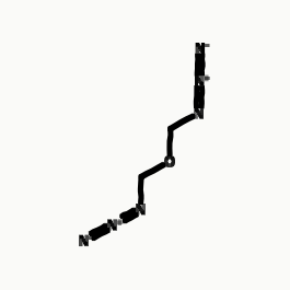 [N-]=[N+]=NCOCN=[N+]=[N-]